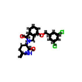 C=C1CCC(N2Cc3c(OCc4cc(Cl)cc(Cl)c4)cccc3C2=O)C(=O)N1